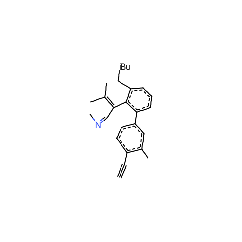 C#Cc1ccc(-c2cccc(CC(C)CC)c2C(/C=N\C)=C(C)C)cc1C